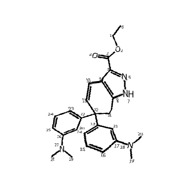 CCOC(=O)c1n[nH]c2c1C=CC(c1cccc(N(C)C)c1)(c1cccc(N(C)C)c1)C2